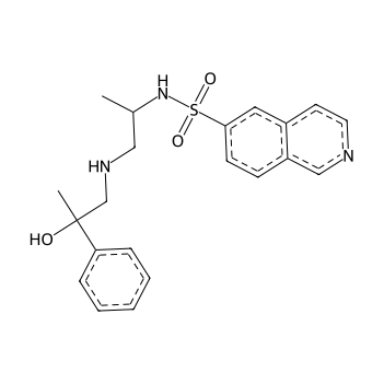 CC(CNCC(C)(O)c1ccccc1)NS(=O)(=O)c1ccc2cnccc2c1